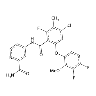 COc1c(Oc2cc(Cl)c(C)c(F)c2C(=O)Nc2ccnc(C(N)=O)c2)ccc(F)c1F